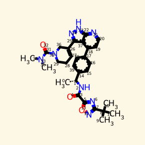 C[C@@H](NC(=O)c1nc(C(C)(C)C)no1)c1ccc(-c2ccnc3[nH]nc(C4=CCCN(C(=O)N(C)C)C4)c23)cc1